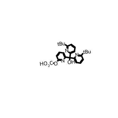 CC(C)(C)c1cccc(C(O)(c2cccc(OC(=O)O)n2)c2cccc(C(C)(C)C)n2)n1